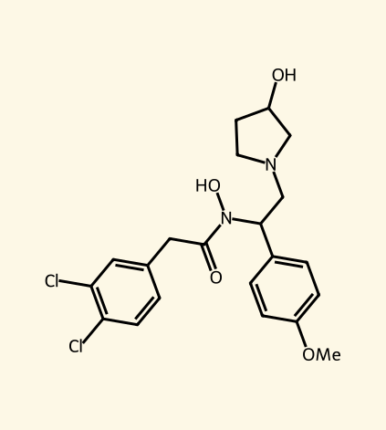 COc1ccc(C(CN2CCC(O)C2)N(O)C(=O)Cc2ccc(Cl)c(Cl)c2)cc1